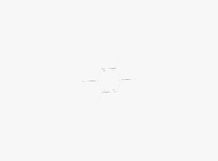 Cc1cc(I)c(C)cc1I